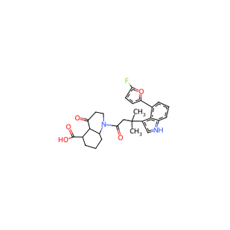 CC(C)(CC(=O)N1CCC(=O)C2C(C(=O)O)CCCC21)c1c[nH]c2cccc(-c3ccc(F)o3)c12